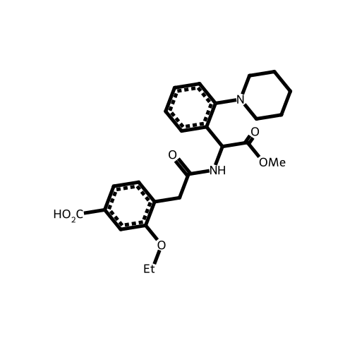 CCOc1cc(C(=O)O)ccc1CC(=O)NC(C(=O)OC)c1ccccc1N1CCCCC1